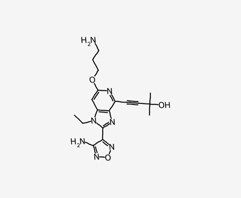 CCn1c(-c2nonc2N)nc2c(C#CC(C)(C)O)nc(OCCCN)cc21